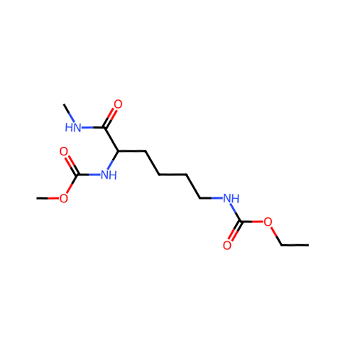 CCOC(=O)NCCCCC(NC(=O)OC)C(=O)NC